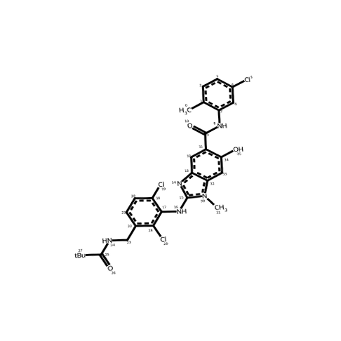 Cc1ccc(Cl)cc1NC(=O)c1cc2nc(Nc3c(Cl)ccc(CNC(=O)C(C)(C)C)c3Cl)n(C)c2cc1O